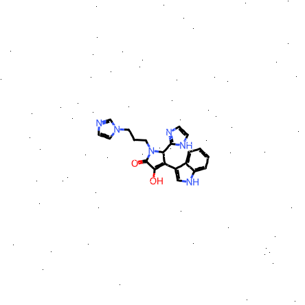 O=C1C(O)=C(c2c[nH]c3ccccc23)C(c2ncc[nH]2)N1CCCn1ccnc1